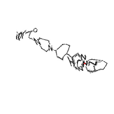 CC(C)C(=O)CN1CCN(C2CCC(c3cnc(N4C5CCC4CN(C)C5)nc3)CC2)CC1